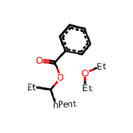 CCCCCC(CC)OC(=O)c1ccccc1.CCOCC